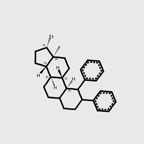 CC[C@H]1CC[C@H]2[C@@H]3CCC4CCC(c5ccccc5)C(c5ccccc5)[C@@H]4[C@H]3CC[C@]12C